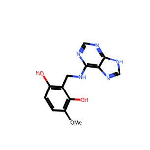 COc1ccc(O)c(CNc2ncnc3[nH]cnc23)c1O